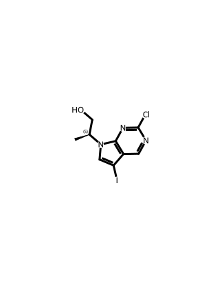 C[C@@H](CO)n1cc(I)c2cnc(Cl)nc21